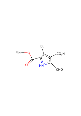 CCc1c(C(=O)OC(C)(C)C)[nH]c(C=O)c1C(=O)O